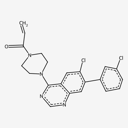 C=CC(=O)N1CCN(c2ncnc3cc(-c4cccc(Cl)c4)c(Cl)cc23)CC1